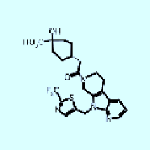 O=C(C[C@H]1CC[C@](O)(C(=O)O)CC1)N1CCc2c(n(Cc3cnc(C(F)(F)F)s3)c3ncccc23)C1